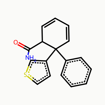 NC(=O)C1C=CC=CC1(c1ccccc1)c1ccsc1